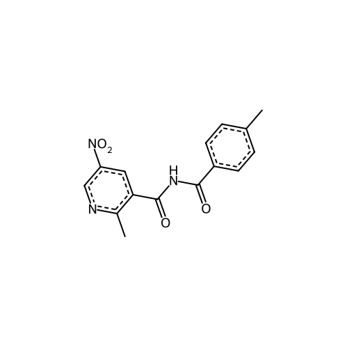 Cc1ccc(C(=O)NC(=O)c2cc([N+](=O)[O-])cnc2C)cc1